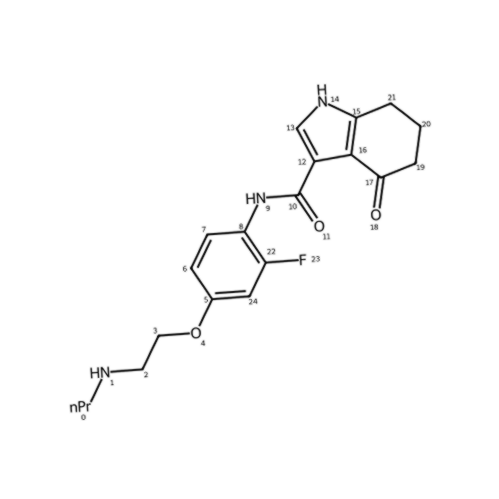 CCCNCCOc1ccc(NC(=O)c2c[nH]c3c2C(=O)CCC3)c(F)c1